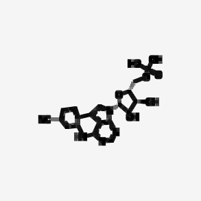 N#Cc1ccc2c(c1)Nc1ncnc3c1c-2cn3[C@@H]1O[C@H](COP(=O)(O)O)[C@@H](O)[C@H]1O